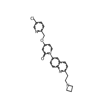 O=c1cc(OCc2ccc(Cl)cn2)ccn1-c1ccc2nc(CCN3CCC3)ccc2c1